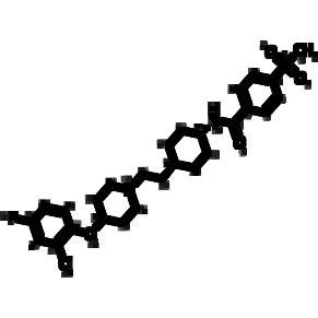 CS(=O)(=O)c1ccc(C(=O)N[C@H]2CC[C@H](CCN3CCC(Oc4ccc(F)cc4Cl)CC3)CC2)cc1